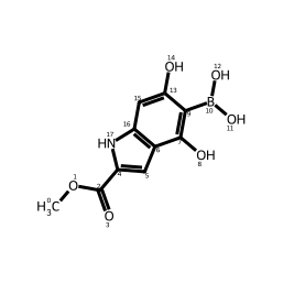 COC(=O)c1cc2c(O)c(B(O)O)c(O)cc2[nH]1